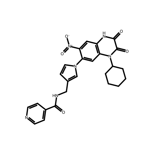 O=C(NCc1ccn(-c2cc3c(cc2[N+](=O)[O-])[nH]c(=O)c(=O)n3C2CCCCC2)c1)c1ccncc1